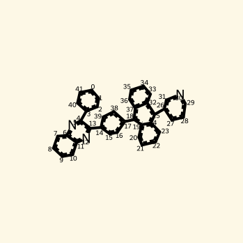 c1ccc(-c2nc3ccccc3nc2-c2ccc(-c3c4ccccc4c(-c4cccnc4)c4ccccc34)cc2)cc1